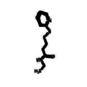 CCNC(=O)CCSSc1ccccn1